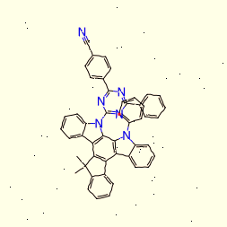 CC1(C)c2ccccc2-c2c1c1c3ccccc3n(-c3nc(-c4ccccc4)nc(-c4ccc(C#N)cc4)n3)c1c1c2c2ccccc2n1-c1ccccc1